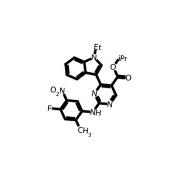 CCn1cc(-c2nc(Nc3cc([N+](=O)[O-])c(F)cc3C)ncc2C(=O)OC(C)C)c2ccccc21